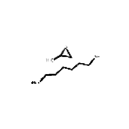 CC1CO1.CCCCCCCCCCCCS